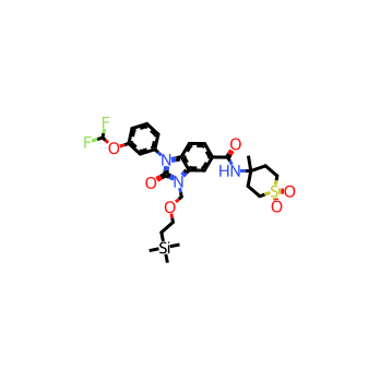 CC1(NC(=O)c2ccc3c(c2)n(COCC[Si](C)(C)C)c(=O)n3-c2cccc(OC(F)F)c2)CCS(=O)(=O)CC1